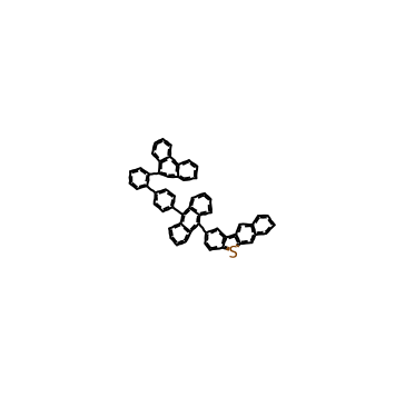 c1ccc(-c2cc3ccccc3c3ccccc23)c(-c2ccc(-c3c4ccccc4c(-c4ccc5sc6cc7ccccc7cc6c5c4)c4ccccc34)cc2)c1